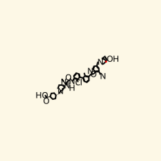 Cc1c(-c2nc3cc(CN4CC5CC4CC5O)cc(C#N)c3o2)cccc1-c1cccc(NC(=O)c2nc3c(n2C)CCN(C[C@H]2CC[C@H](C(=O)O)CC2)C3)c1Cl